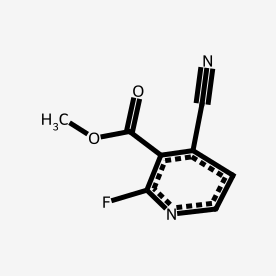 COC(=O)c1c(C#N)ccnc1F